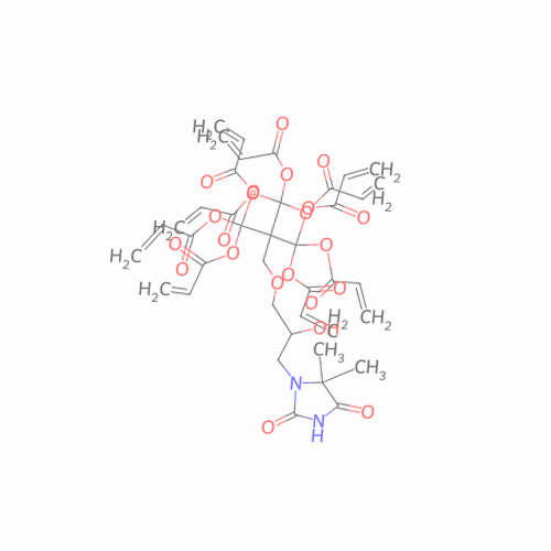 C=CC(=O)OC(OC(=O)C=C)(OC(=O)C=C)C(COCC(O)CN1C(=O)NC(=O)C1(C)C)(C(OC(=O)C=C)(OC(=O)C=C)OC(=O)C=C)C(OC(=O)C=C)(OC(=O)C=C)OC(=O)C=C